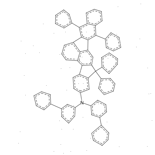 c1ccc(-c2cccc(N(c3cccc(-c4ccccc4)c3)c3ccc4c(c3)C(c3ccccc3)(c3ccccc3)c3cc5c6c(cccc6c3-4)-c3c-5c(-c4ccccc4)c4ccccc4c3-c3ccccc3)c2)cc1